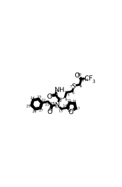 NC(=O)[C@H](CCCSCC(=O)C(F)(F)F)N(Cc1ccco1)C(=O)Cc1ccccc1